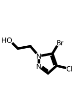 OCCn1ncc(Cl)c1Br